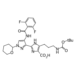 CC(C)(C)OC(=O)NCCCc1[nH]c(-c2nn(C3CCCCO3)cc2NC(=O)c2c(F)cccc2F)nc1C(=O)O